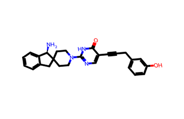 N[C@@H]1c2ccccc2CC12CCN(c1ncc(C#CCc3cccc(O)c3)c(=O)[nH]1)CC2